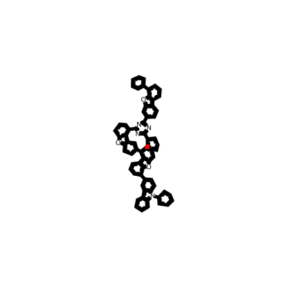 c1ccc(-c2nc(-c3ccc4c(c3)oc3c(-c5ccccc5)cccc34)nc(-c3cccc4oc5ccc(-c6cccc7oc8c(-c9ccc%10c(c9)c9ccccc9n%10-c9ccccc9)cccc8c67)cc5c34)n2)cc1